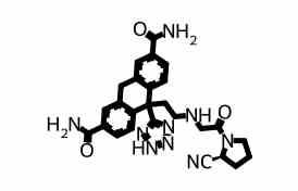 N#C[C@@H]1CCCN1C(=O)CNCCC1(c2nn[nH]n2)c2ccc(C(N)=O)cc2Cc2cc(C(N)=O)ccc21